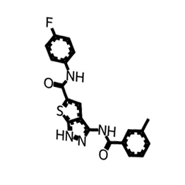 Cc1cccc(C(=O)Nc2n[nH]c3sc(C(=O)Nc4ccc(F)cc4)cc23)c1